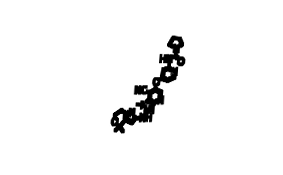 Cn1c(Nc2cc3n(n2)CCOC3(C)C)nc2ncc(Oc3ccnc(NC(=O)N4CCCC4)c3)c(C#N)c21